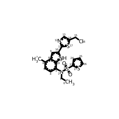 CCN(c1ccc(C)c2cc(-c3ncc(CCl)s3)[nH]c12)S(=O)(=O)c1cccs1